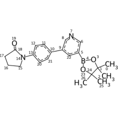 CC1(C)OB(c2cncc(-c3ccc(N4CCCC4=O)cc3)c2)OC1(C)C